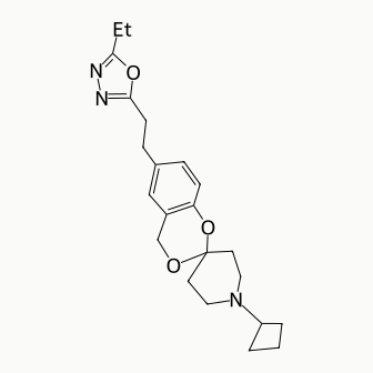 CCc1nnc(CCc2ccc3c(c2)COC2(CCN(C4CCC4)CC2)O3)o1